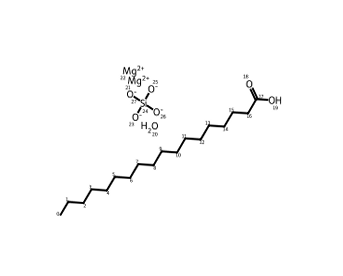 CCCCCCCCCCCCCCCCCC(=O)O.O.[Mg+2].[Mg+2].[O-][Si]([O-])([O-])[O-]